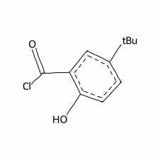 CC(C)(C)c1ccc(O)c(C(=O)Cl)c1